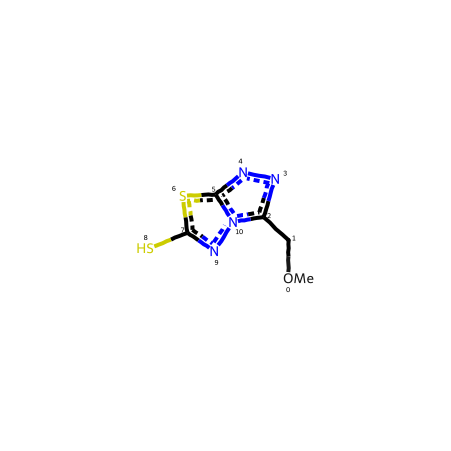 COCc1nnc2sc(S)nn12